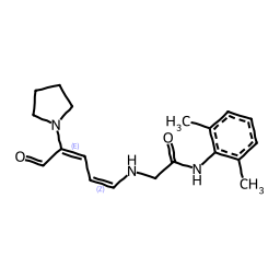 Cc1cccc(C)c1NC(=O)CN/C=C\C=C(/C=O)N1CCCC1